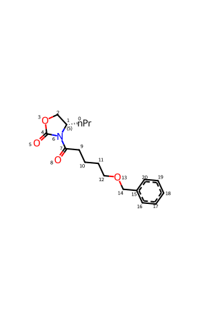 CCC[C@H]1COC(=O)N1C(=O)CCCCOCc1ccccc1